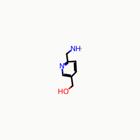 [NH]Cc1ccc(CO)cn1